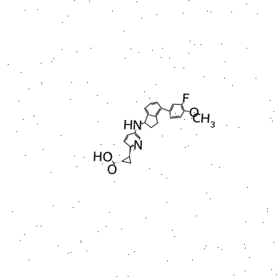 COc1ccc(-c2cccc3c2CC[C@H]3Nc2ccc([C@H]3C[C@@H]3C(=O)O)nc2)cc1F